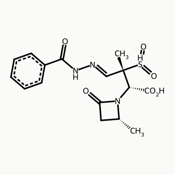 C[C@@H]1CC(=O)N1[C@@H](C(=O)O)[C@](C)(/C=N/NC(=O)c1ccccc1)[SH](=O)=O